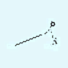 CCCCCCCCCCCCCCCCCCOCCOP(=O)(COCCn1cnc2c(=O)[nH]c(N)nc21)OCc1cccc(Cl)c1